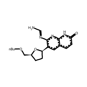 CCCCOC[C@@H]1CC[C@H](c2cc3ccc(=O)[nH]c3nc2/N=C/N)O1